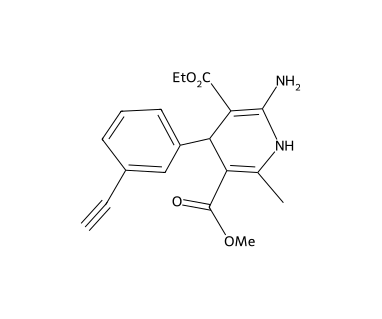 C#Cc1cccc(C2C(C(=O)OC)=C(C)NC(N)=C2C(=O)OCC)c1